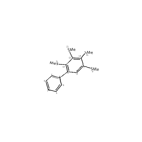 CSc1cc(-c2ccccc2)c(SC)c(SC)c1SC